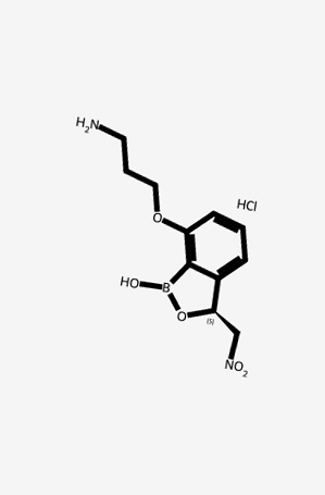 Cl.NCCCOc1cccc2c1B(O)O[C@@H]2C[N+](=O)[O-]